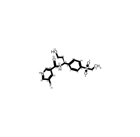 CCS(=O)(=O)c1ccc([C@H](CCO)NC(=O)c2cncc(F)c2)cc1